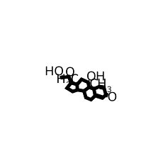 C[C@]12C[C@H](O)C3C(CCC4=CC(=O)C=C[C@@]43C)C1CCC2C(=O)CO